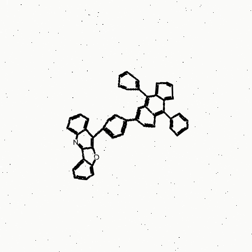 c1ccc(-c2c3ccccc3c(-c3ccccc3)c3cc(-c4ccc(-c5c6ccccc6nc6c5oc5ccccc56)cc4)ccc23)cc1